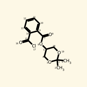 CC1(C)OCC(OC(=O)c2ccccc2C(=O)Cl)CO1